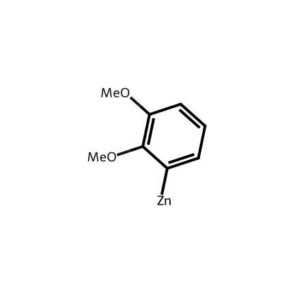 COc1ccc[c]([Zn])c1OC